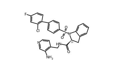 Nc1cnccc1CNC(=O)[C@@H]1Cc2ccccc2N1S(=O)(=O)c1ccc(-c2ccc(F)cc2Cl)cc1